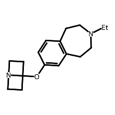 CCN1CCc2ccc(OC34CCN3CC4)cc2CC1